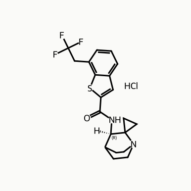 Cl.O=C(N[C@@H]1C2CCN(CC2)C12CC2)c1cc2cccc(CC(F)(F)F)c2s1